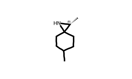 CC1CCC2(CC1)N[C@@H]2C